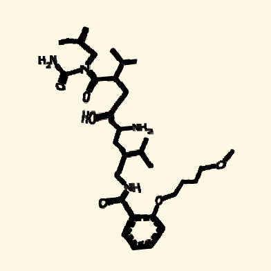 COCCCCOc1ccccc1C(=O)NCC(CC(N)C(O)CC(C(=O)N(CC(C)C)C(N)=O)C(C)C)C(C)C